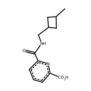 CC1CC(CNC(=O)c2cccc(C(=O)O)n2)C1